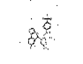 C[C@@H]1CN(C(=O)c2cc(F)ccc2-n2nccn2)[C@H](CNc2cnc(C(F)(F)F)cn2)[C@H](C)O1